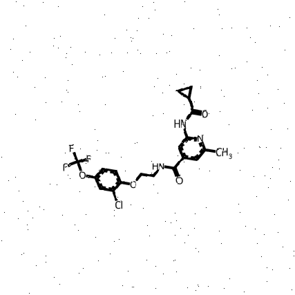 Cc1cc(C(=O)NCCOc2ccc(OC(F)(F)F)cc2Cl)cc(NC(=O)C2CC2)n1